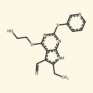 CCc1[nH]c2nc(Sc3cccnc3)nc(OCCO)c2c1C=O